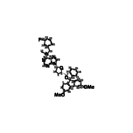 COc1ccc(C(OC[C@@H]2CC[C@H](n3cnc4c(N(C)Cc5cccc(F)c5)ncnc43)O2)(c2ccccc2)c2ccc(OC)cc2)cc1